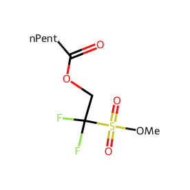 CCCCCC(=O)OCC(F)(F)S(=O)(=O)OC